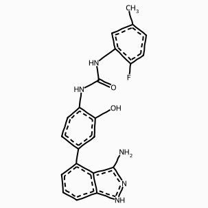 Cc1ccc(F)c(NC(=O)Nc2ccc(-c3cccc4[nH]nc(N)c34)cc2O)c1